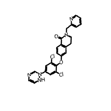 O=C1c2ccc(Oc3c(Cl)cc(N4C=NC=CN4)cc3Cl)cc2CCN1Cc1ccccn1